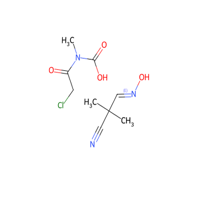 CC(C)(C#N)/C=N/O.CN(C(=O)O)C(=O)CCl